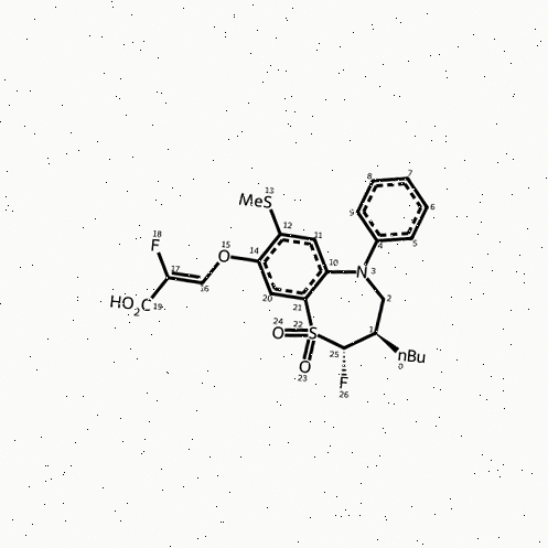 CCCC[C@@H]1CN(c2ccccc2)c2cc(SC)c(O/C=C(\F)C(=O)O)cc2S(=O)(=O)[C@H]1F